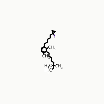 CCC(C)(C)CCCCCc1c(C)ccc(CCCCCC2(I)CC2)c1C